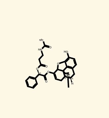 CCCC(=O)NCCC(=O)O[C@@H](C(=O)OC1=CC[C@@]2(O)[C@H]3Cc4ccc(O)c5c4C2(CCN3C)C1O5)c1ccccc1